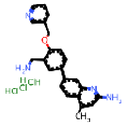 Cc1cc(N)nc2cc(-c3ccc(OCc4cccnc4)c(CN)c3)ccc12.Cl.Cl.Cl